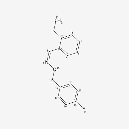 CCc1ccccc1/[C]=N\OCc1ccc(F)cc1